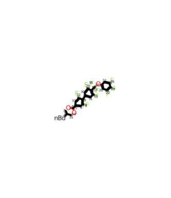 CCCCC1COC(c2cc(F)c(-c3cc(F)c(C(F)(F)Oc4cc(F)c(F)c(F)c4)c(F)c3)c(F)c2)OC1